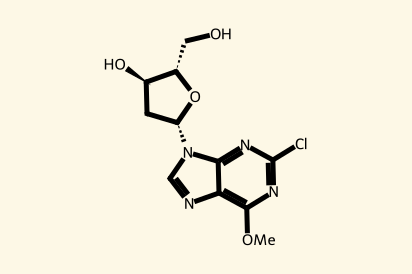 COc1nc(Cl)nc2c1ncn2[C@@H]1C[C@@H](O)[C@H](CO)O1